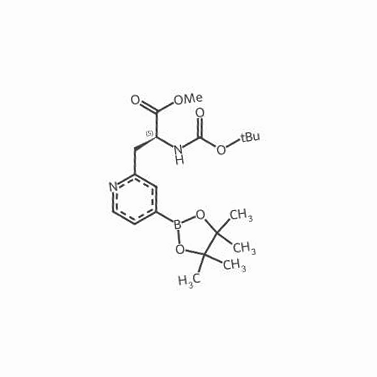 COC(=O)[C@H](Cc1cc(B2OC(C)(C)C(C)(C)O2)ccn1)NC(=O)OC(C)(C)C